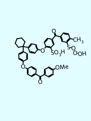 COc1ccc(C(=O)c2ccc(Oc3ccc(C4(c5ccc(Oc6ccc(C(=O)c7ccc(C)c(SOOO)c7)cc6S(=O)(=O)O)cc5)CCCCC4)cc3)cc2)cc1